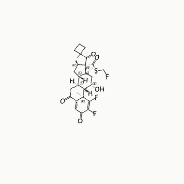 C[C@@H]1C[C@H]2[C@@H]3CC(=O)C4=CC(=O)C(F)=C(F)[C@]4(C)[C@H]3[C@@H](O)C[C@]2(C)[C@]1(C(=O)SCF)C(=O)C1(C)CCC1